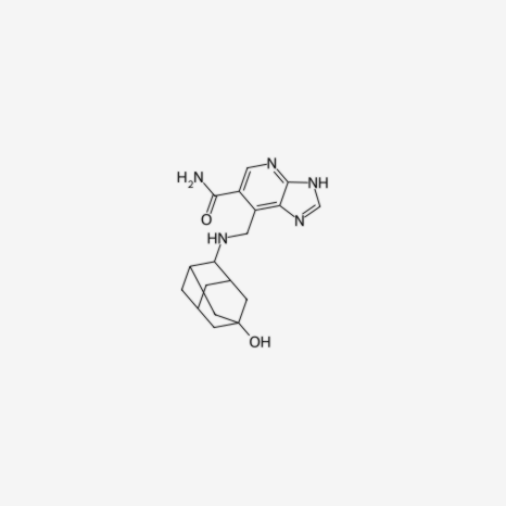 NC(=O)c1cnc2[nH]cnc2c1CNC1C2CC3CC1CC(O)(C3)C2